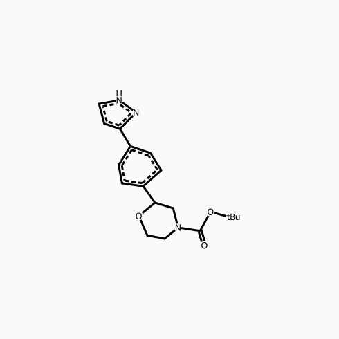 CC(C)(C)OC(=O)N1CCOC(c2ccc(-c3cc[nH]n3)cc2)C1